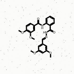 COc1cc(C=NNC(=O)c2ccccc2NC(=O)c2ccc(OC)c(OC)c2)cc(OC)c1